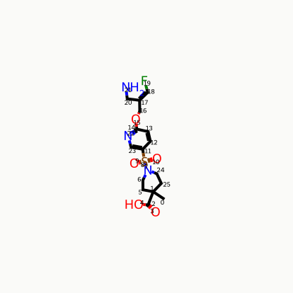 CC1(C(=O)O)CCN(S(=O)(=O)c2ccc(OC/C(=C/F)CN)nc2)CC1